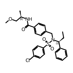 CC[C@@H](c1ccccc1)N(Cc1ccc(C(=O)N[C@H](C)COC)cc1)S(=O)(=O)c1ccc(Cl)cc1